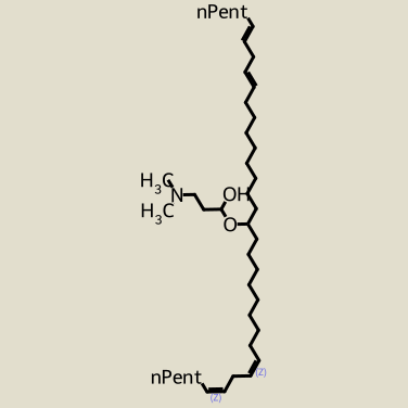 CCCCCC=CCC=CCCCCCCCCC(CCCCCCCC/C=C\C/C=C\CCCCC)OC(O)CCN(C)C